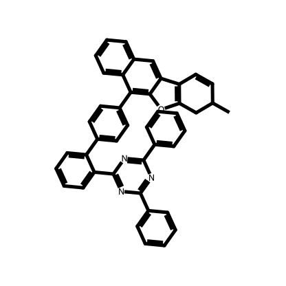 CC1C=Cc2c(oc3c(-c4ccc(-c5ccccc5-c5nc(-c6ccccc6)nc(-c6ccccc6)n5)cc4)c4ccccc4cc23)C1